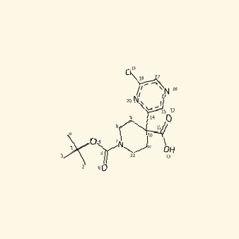 CC(C)(C)OC(=O)N1CCC(C(=O)O)(c2cncc(Cl)n2)CC1